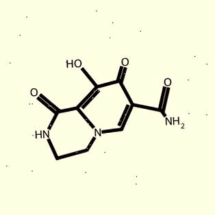 NC(=O)c1cn2c(c(O)c1=O)C(=O)NCC2